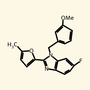 COc1cccc(Cn2c(-c3ccc(C)o3)nc3ccc(F)cc32)c1